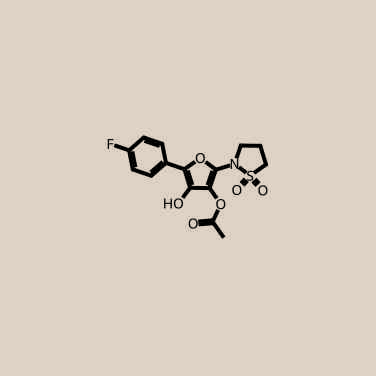 CC(=O)Oc1c(N2CCCS2(=O)=O)oc(-c2ccc(F)cc2)c1O